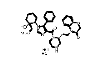 COC[C@]1(O)CCCC[C@H]1n1cnc(C(=O)N2CCNC[C@H]2CCN2C(=O)COc3ccccc32)c1-c1ccccc1.Cl.Cl